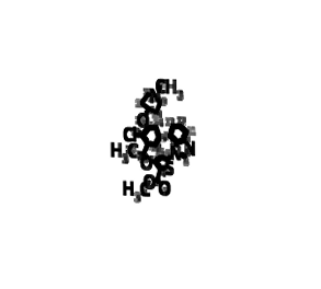 COC(=O)c1sc(-n2cnc3ccccc32)cc1O[C@H](C)c1cccc(OC2CCN(C)CC2)c1Cl